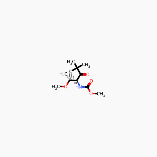 COC(=O)N[C@H](C(=O)C(C)(C)C)[C@@H](C)OC